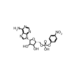 Nc1ncnc2c1ncn2[C@@H]1O[C@H](COP(=O)(O)Oc2ccc([N+](=O)[O-])cc2)C(O)C1O